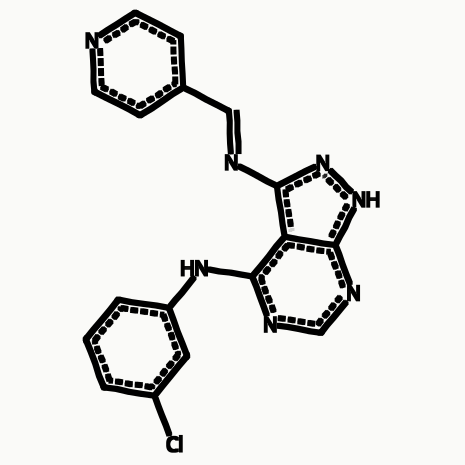 Clc1cccc(Nc2ncnc3[nH]nc(N=Cc4ccncc4)c23)c1